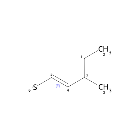 CCC(C)/C=C/[S]